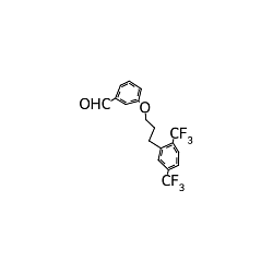 O=Cc1cccc(OCCCc2cc(C(F)(F)F)ccc2C(F)(F)F)c1